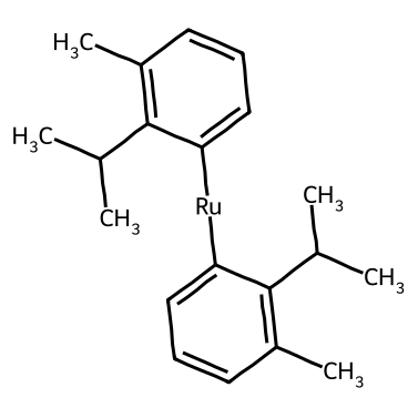 Cc1ccc[c]([Ru][c]2cccc(C)c2C(C)C)c1C(C)C